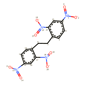 O=[N+]([O-])c1ccc(CCc2ccc([N+](=O)[O-])cc2[N+](=O)[O-])c([N+](=O)[O-])c1